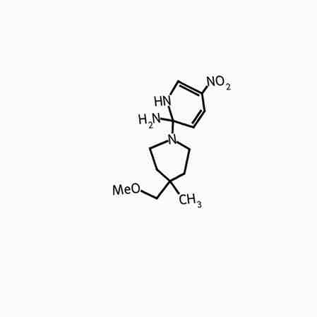 COCC1(C)CCN(C2(N)C=CC([N+](=O)[O-])=CN2)CC1